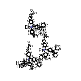 CC/C(=C(\c1ccc(OCCN(C)C)cc1)c1ccc(N(C2CCCCC2)C2CCCCC2)cc1)c1ccc(C(C)C)cc1.CC/C(=C(\c1ccc(OCCN(C)C)cc1)c1ccc(N(C2CCCCC2)C2CCCCC2)cc1)c1ccc(C(C)C)cc1.CC/C(=C(\c1ccc(OCCN(C)C)cc1)c1ccc(N(C2CCCCC2)C2CCCCC2)cc1)c1ccc(C(C)C)cc1.O=P(O)(O)O